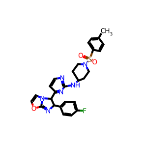 Cc1ccc(S(=O)(=O)N2CCC(Nc3nccc(C4C(c5ccc(F)cc5)N=C5OC=CN54)n3)CC2)cc1